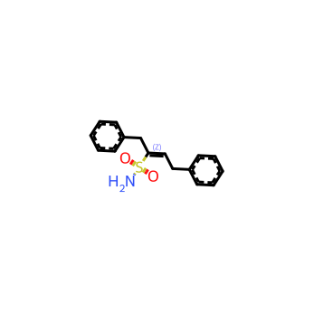 NS(=O)(=O)/C(=C\Cc1ccccc1)Cc1ccccc1